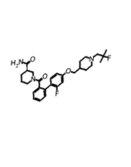 CC(C)(F)CN1CCC(COc2ccc(-c3ccccc3C(=O)N3CCC[C@@H](C(N)=O)C3)c(F)c2)CC1